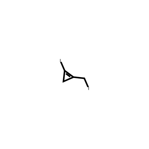 ICC1=C(I)C1